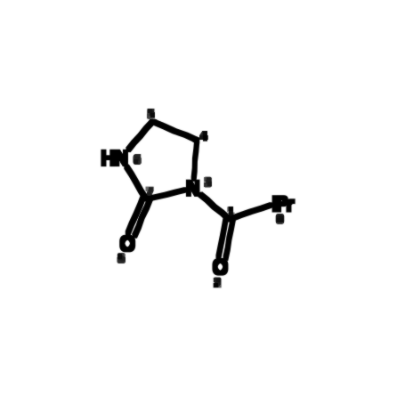 CC(C)C(=O)N1CCNC1=O